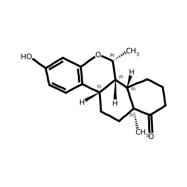 C[C@H]1Oc2cc(O)ccc2[C@H]2CC[C@]3(C)C(=O)CCC[C@H]3[C@H]21